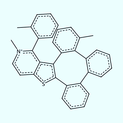 Cc1ccccc1-c1c2c3c(sc2cc[n+]1C)-c1ccccc1-c1ccccc1-c1c(C)cccc1-3